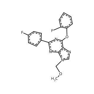 COCn1cnc2c(Oc3ccccc3F)nc(-c3ccc(F)cc3)nc21